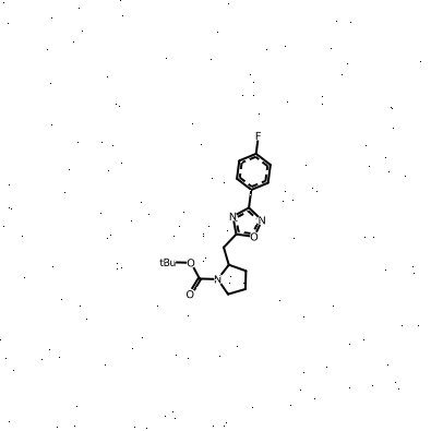 CC(C)(C)OC(=O)N1CCCC1Cc1nc(-c2ccc(F)cc2)no1